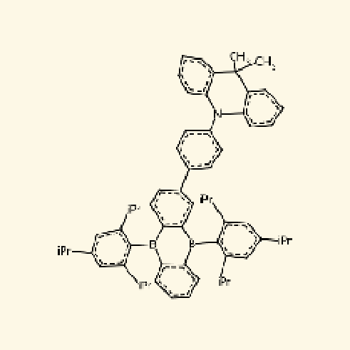 CC(C)c1cc(C(C)C)c(B2c3ccccc3B(c3c(C(C)C)cc(C(C)C)cc3C(C)C)c3cc(-c4ccc(N5c6ccccc6C(C)(C)c6ccccc65)cc4)ccc32)c(C(C)C)c1